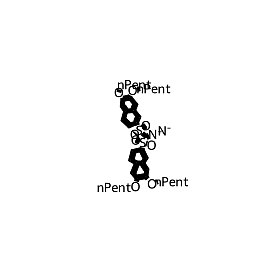 CCCCCOc1cc2ccc(S(=O)(=O)C(=[N+]=[N-])S(=O)(=O)c3ccc4cc(OCCCCC)c(OCCCCC)cc4c3)cc2cc1OCCCCC